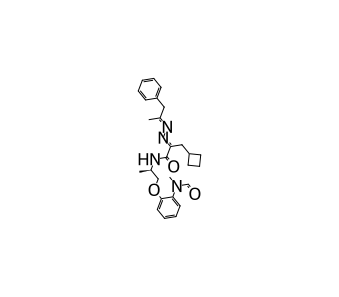 C/C(Cc1ccccc1)=N\N=C(/CC1CCC1)C(=O)N[C@H](C)COc1ccccc1N(C)C=O